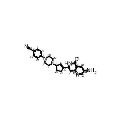 N#Cc1ccc(N2CCN(C3C=C(c4cc5ncc(N)cc5c(=O)[nH]4)CC3)CC2)cc1